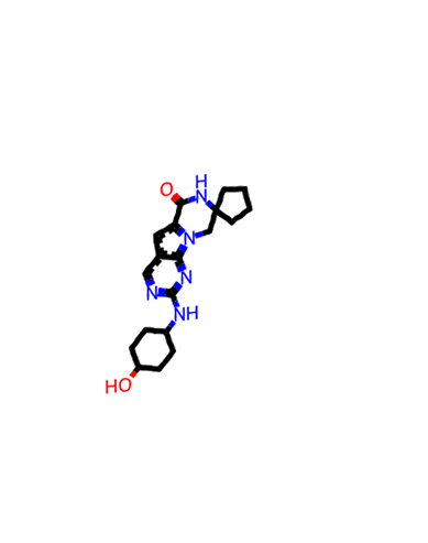 O=C1NC2(CCCC2)Cn2c1cc1cnc(NC3CCC(O)CC3)nc12